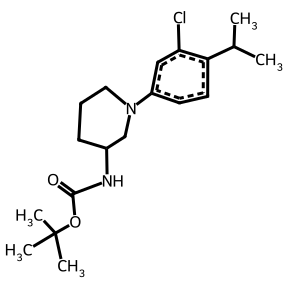 CC(C)c1ccc(N2CCCC(NC(=O)OC(C)(C)C)C2)cc1Cl